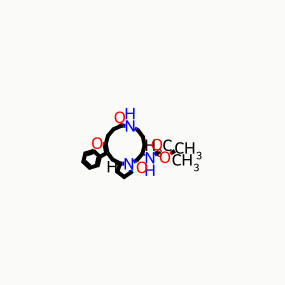 CC(C)(C)OC(=O)N[C@H]1CCCNC(=O)CCc2oc3ccccc3c2C[C@@H]2CCCN2C1=O